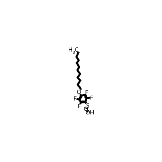 CCCCCCCCCCCCOc1c(F)c(F)c(SOO)c(F)c1F